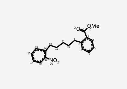 COC(=O)c1ccccc1CCCCCc1ccccc1[N+](=O)[O-]